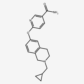 NC(=O)c1ccc(Oc2ccc3c(c2)CCN(CC2CC2)C3)nc1